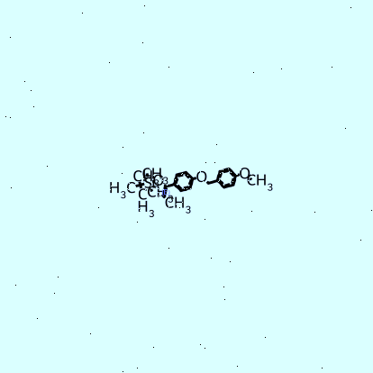 C/C=C(/O[Si](C)(C)C(C)(C)C)c1ccc(OCc2ccc(OC)cc2)cc1